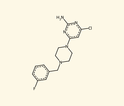 Nc1nc(Cl)cc(N2CCN(Cc3cccc(F)c3)CC2)n1